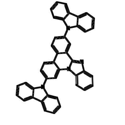 c1ccc2c(c1)nc1c3cc(-n4c5ccccc5c5ccccc54)ccc3c3ccc(-n4c5ccccc5c5ccccc54)cc3n21